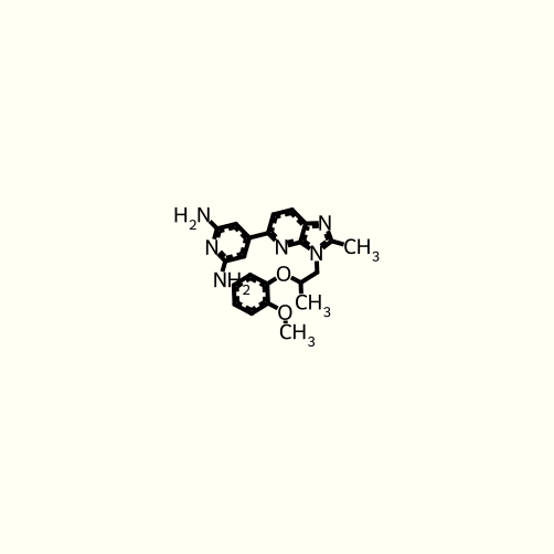 COc1ccccc1OC(C)Cn1c(C)nc2ccc(-c3cc(N)nc(N)c3)nc21